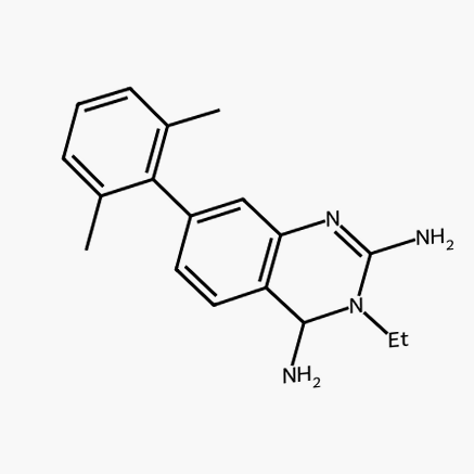 CCN1C(N)=Nc2cc(-c3c(C)cccc3C)ccc2C1N